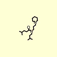 CC(C)CCC(=O)N(CCCN1CCCCC1)CCC(C)C